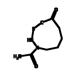 NC(=O)N1CCCCC(=O)CSN1